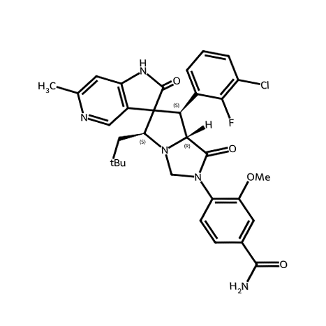 COc1cc(C(N)=O)ccc1N1CN2[C@@H](CC(C)(C)C)C3(C(=O)Nc4cc(C)ncc43)[C@@H](c3cccc(Cl)c3F)[C@@H]2C1=O